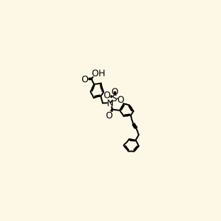 O=C(O)c1ccc(CN2C(=O)c3cc(C#CCc4ccccc4)ccc3OS2(=O)=O)cc1